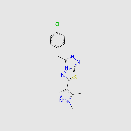 Cc1c(-c2nn3c(Cc4ccc(Cl)cc4)nnc3s2)cnn1C